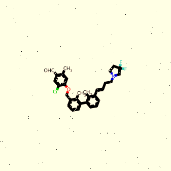 Cc1cc(OCc2cccc(-c3cccc(C=CCCN4CCC(F)(F)C4)c3C)c2C)c(Cl)cc1C=O